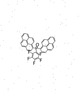 O=P(c1c(F)c(F)c(F)c(F)c1F)(c1ccc2ccc3cccc4ccc1c2c34)c1ccc2ccc3cccc4ccc1c2c34